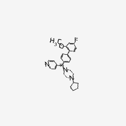 COc1cc(F)ccc1-c1ccc([C@H](c2ccncc2)N2CCN(C3CCCC3)CC2)cc1